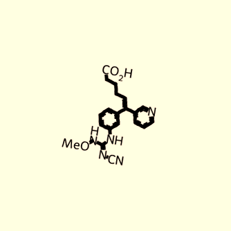 CON/C(=N/C#N)Nc1cccc(/C(=C\CCCC(=O)O)c2cccnc2)c1